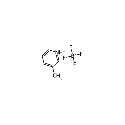 Cc1ccc[nH+]c1.F[B-](F)(F)F